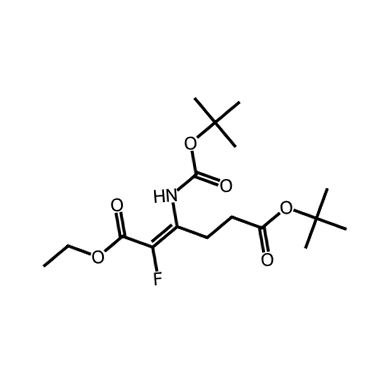 CCOC(=O)C(F)=C(CCC(=O)OC(C)(C)C)NC(=O)OC(C)(C)C